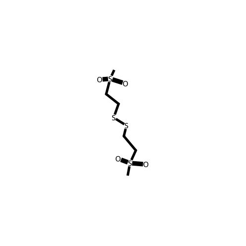 CS(=O)(=O)CCSSCCS(C)(=O)=O